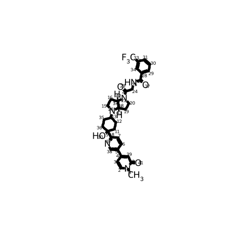 Cn1ccc(-c2ccc(C3(O)CCC(N4CC[C@H]5[C@@H]4CCN5C(=O)CNC(=O)c4cccc(C(F)(F)F)c4)CC3)nc2)cc1=O